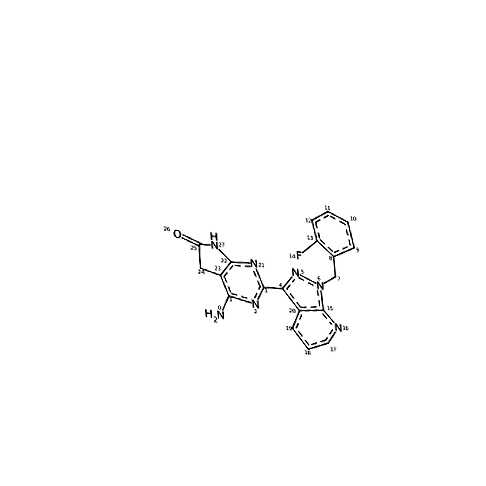 Nc1nc(-c2nn(Cc3ccccc3F)c3ncccc23)nc2c1CC(=O)N2